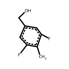 Cc1c(F)cc(CO)cc1F